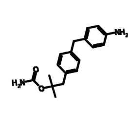 CC(C)(Cc1ccc(Cc2ccc(N)cc2)cc1)OC(N)=O